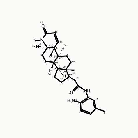 Cc1ccc(N)c(NC(=O)C[C@H]2CC[C@H]3[C@@H]4CC[C@H]5N(C)C(=O)C=C[C@]5(C)[C@H]4CC[C@]23C)c1